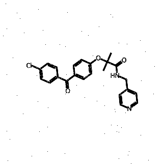 CC(C)(Oc1ccc(C(=O)c2ccc(Cl)cc2)cc1)C(=O)NCc1ccncc1